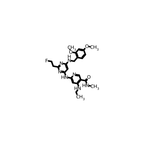 CCNc1cc(Nc2cc(NCc3ccc(OC)cc3OC)nc(CCF)n2)ncc1C(=O)NC